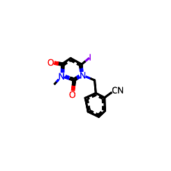 Cn1c(=O)cc(I)n(Cc2ccccc2C#N)c1=O